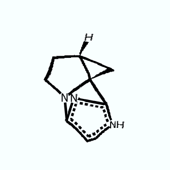 c1[nH]c2nc1N1CC[C@@H]3C[C@]231